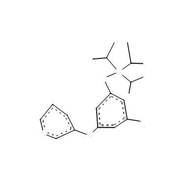 CC(C)[Si](Oc1cc(Br)cc(Nc2cccnc2)c1)(C(C)C)C(C)C